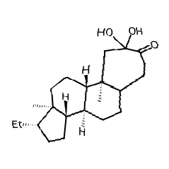 CC[C@H]1CC[C@H]2[C@@H]3CCC4CC(=O)C(O)(O)C[C@]4(C)[C@H]3CC[C@]12C